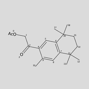 CC(=O)OCC(=O)c1cc2c(cc1C)C(C)(C)CCC2(C)C